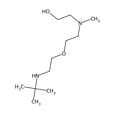 CN(CCO)CCOCCNC(C)(C)C